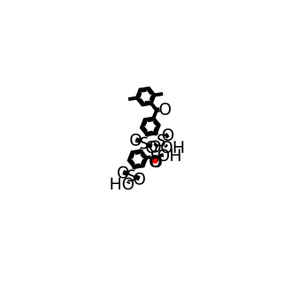 Cc1ccc(C)c(C(=O)c2ccc(S(=O)(=O)c3ccc(S(=O)(=O)O)cc3S(=O)(=O)O)c(S(=O)(=O)O)c2)c1